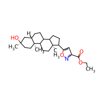 CCOC(=O)c1cc(C2CCC3C4CC[C@H]5C[C@](C)(O)CC[C@]5(C)C4CC[C@]23C)on1